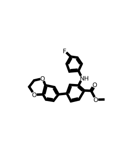 COC(=O)c1ccc(-c2ccc3c(c2)OCCO3)cc1Nc1ccc(F)cc1